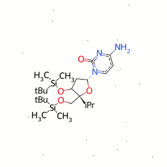 CC(C)[C@]1(CO[Si](C)(C)C(C)(C)C)O[C@@H](n2ccc(N)nc2=O)CC1O[Si](C)(C)C(C)(C)C